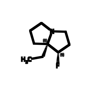 CC[C@]12CCCN1CC[C@@H]2F